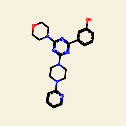 Oc1cccc(-c2nc(N3CCOCC3)nc(N3CCN(c4ccccn4)CC3)n2)c1